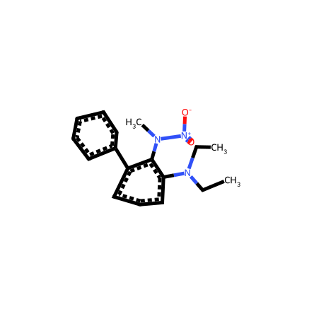 CCN(CC)c1cccc(-c2ccccc2)c1N(C)[N+](=O)[O-]